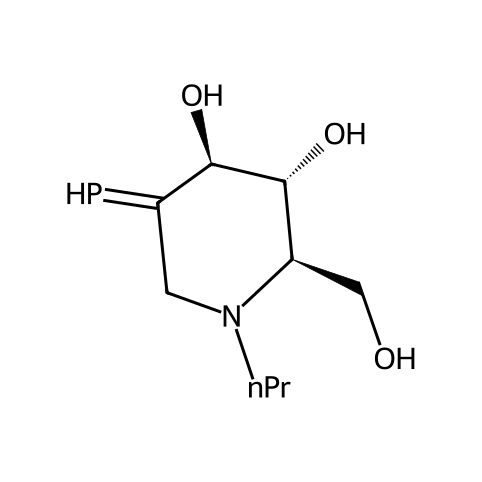 CCCN1CC(=P)[C@@H](O)[C@H](O)[C@H]1CO